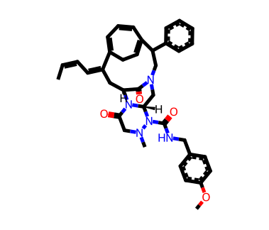 C/C=C\C=C1\C[C@H]2C(=O)N(CC(c3ccccc3)C3=CCC1=CC=C3)C[C@H]1N2C(=O)CN(C)N1C(=O)NCc1ccc(OC)cc1